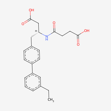 CCc1cccc(-c2ccc(C[C@H](CC(=O)O)NC(=O)CCC(=O)O)cc2)c1